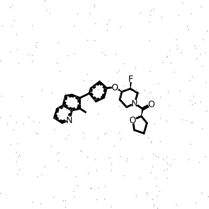 Cc1c(-c2ccc(O[C@@H]3CCN(C(=O)[C@H]4CCCO4)C[C@@H]3F)cc2)ccc2cccnc12